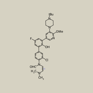 COc1ncc(-c2cc(F)cc(-c3ccc(N(C=O)/C=C\N(C)C)c(Cl)c3)c2O)cc1N1CCN(C(C)(C)C)CC1